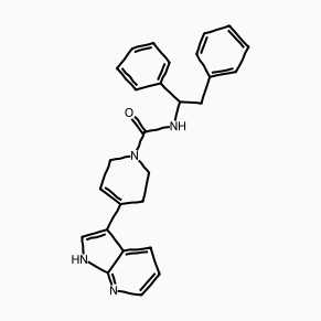 O=C(NC(Cc1ccccc1)c1ccccc1)N1CC=C(c2c[nH]c3ncccc23)CC1